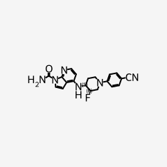 N#Cc1ccc(N2CC[C@H](Nc3ccnc4c3ccn4C(N)=O)[C@H](F)C2)cc1